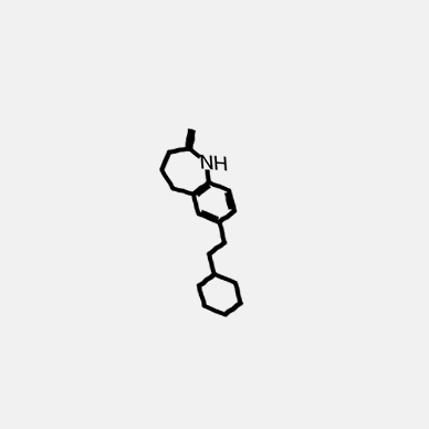 C=C1CCCc2cc(CCC3CCCCC3)ccc2N1